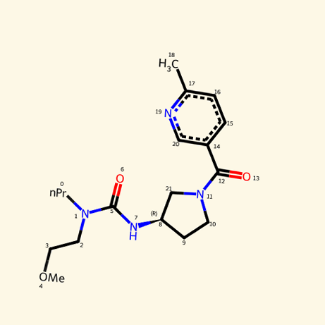 CCCN(CCOC)C(=O)N[C@@H]1CCN(C(=O)c2ccc(C)nc2)C1